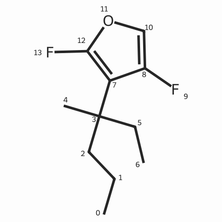 CCCC(C)(CC)c1c(F)coc1F